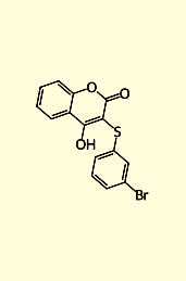 O=c1oc2ccccc2c(O)c1Sc1cccc(Br)c1